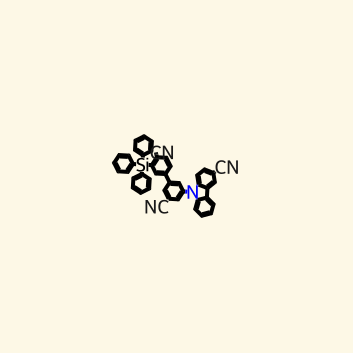 N#Cc1cc(-c2ccc(C#N)c([Si](c3ccccc3)(c3ccccc3)c3ccccc3)c2)cc(-n2c3ccccc3c3cc(C#N)ccc32)c1